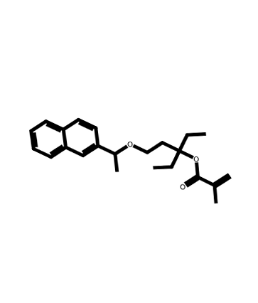 C=C(C)C(=O)OC(CC)(CC)CCOC(C)c1ccc2ccccc2c1